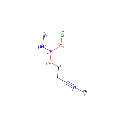 CC(C)[N+]#CCCOP(NC(C)C)OCl